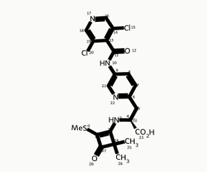 CSC1=C(N[C@@H](Cc2ccc(NC(=O)c3c(Cl)cncc3Cl)cn2)C(=O)O)C(C)(C)C1=O